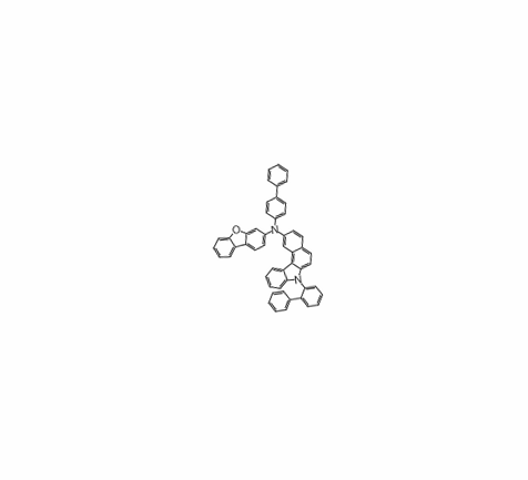 c1ccc(-c2ccc(N(c3ccc4c(c3)oc3ccccc34)c3ccc4ccc5c(c4c3)c3ccccc3n5-c3ccccc3-c3ccccc3)cc2)cc1